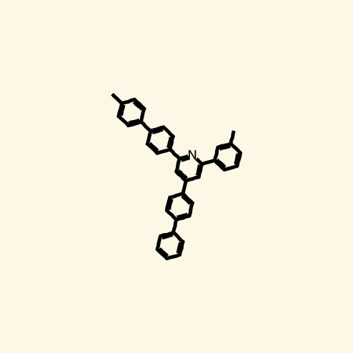 Cc1ccc(-c2ccc(-c3cc(-c4ccc(-c5ccccc5)cc4)cc(-c4cccc(C)c4)n3)cc2)cc1